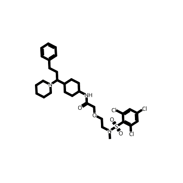 CN(CCOCC(=O)NC1CCC(C(CCc2ccccc2)N2CCCCC2)CC1)S(=O)(=O)c1c(Cl)cc(Cl)cc1Cl